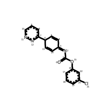 O=C(N=C1C=CC(c2cccnn2)C=C1)Oc1cccc(Cl)c1